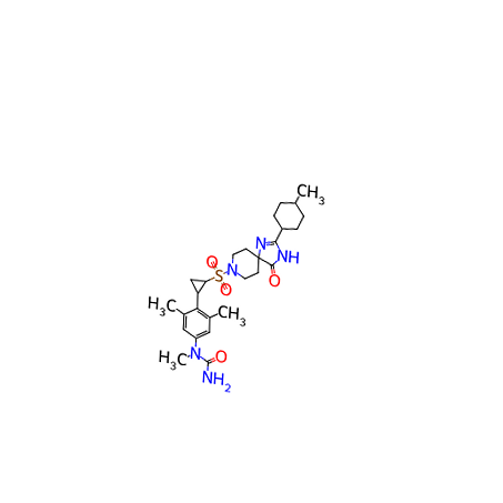 Cc1cc(N(C)C(N)=O)cc(C)c1C1CC1S(=O)(=O)N1CCC2(CC1)N=C(C1CCC(C)CC1)NC2=O